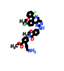 COC(=O)c1ccc(NC(=O)c2ccc(Nc3ncc4c(n3)-c3ccc(Cl)cc3C(c3c(F)cccc3OC)=NC4)cc2OC)cc1C#CCN